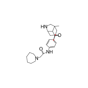 CC1(C)CC2NCC(C)(C1)C2C(=O)c1ccc(NC(=O)CN2CCCCCC2)cc1